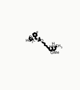 COc1cc(CCCCCOC2CN(C(C(=O)O)c3cc(F)ccc3[C@@H]3CCCO3)C2)nc2c1CCC(C)N2